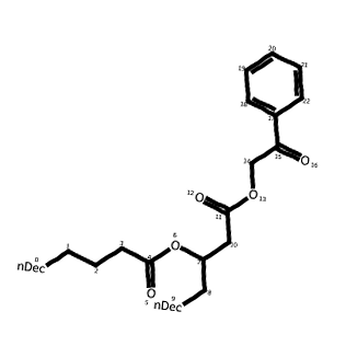 CCCCCCCCCCCCCC(=O)OC(CCCCCCCCCCC)CC(=O)OCC(=O)c1ccccc1